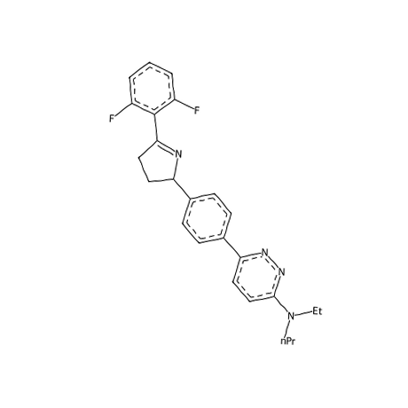 CCCN(CC)c1ccc(-c2ccc(C3CCC(c4c(F)cccc4F)=N3)cc2)nn1